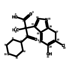 CC(C(=O)O)(C(=O)C1CCSCC1)C1=CN=C2CC(Cl)=C(O)C=C12